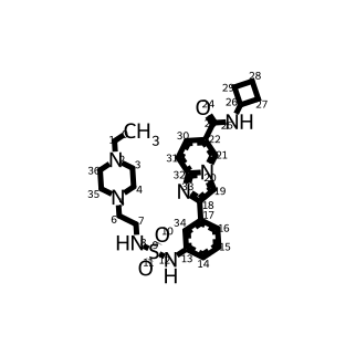 CCN1CCN(CCNS(=O)(=O)Nc2cccc(-c3cn4cc(C(=O)NC5CCC5)ccc4n3)c2)CC1